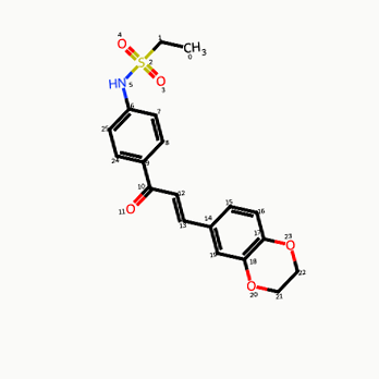 CCS(=O)(=O)Nc1ccc(C(=O)C=Cc2ccc3c(c2)OCCO3)cc1